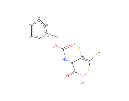 COC(=O)C(NC(=O)OCc1ccccc1)C(F)=C(F)F